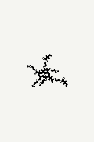 CCC(CC(C)(CC(C)(CC(CC(C(=O)OCCOC)C(C)(C)C(=O)OCCOC(=O)C(C)(C)CC)C(=O)OCCOC)C(=O)OCCOC(=O)C(C)(C)CC)C(=O)OCCO)C(=O)OCCOC